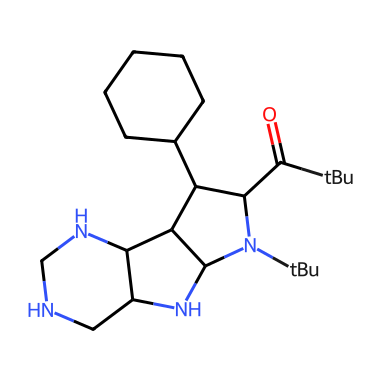 CC(C)(C)C(=O)C1C(C2CCCCC2)C2C3NCNCC3NC2N1C(C)(C)C